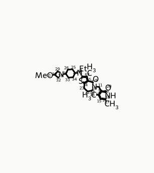 CCN(c1sc2c(c1C)C(=O)N(Cc1c(C)cc(C)[nH]c1=O)CCC2)C1CCC(N2CC(OC)C2)CC1